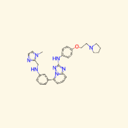 Cn1ccnc1CNc1cccc(-c2cccc3nc(Nc4ccc(OCCN5CCCC5)cc4)nn23)c1